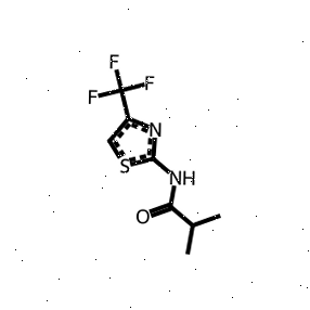 CC(C)C(=O)Nc1nc(C(F)(F)F)cs1